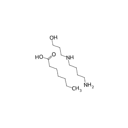 CCCCCCC(=O)O.NCCCCNCCCO